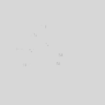 CNc1nc(NN2CCCc3ccccc32)cc(C)[n+]1C.[I-]